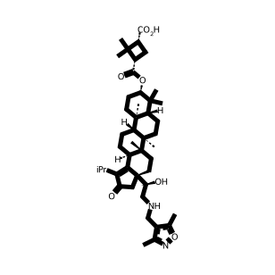 Cc1noc(C)c1CNC[C@H](O)[C@@]12CC[C@]3(C)[C@H](CC[C@@H]4[C@@]5(C)CC[C@H](OC(=O)[C@H]6C[C@@H](C(=O)O)C6(C)C)C(C)(C)[C@@H]5CC[C@]43C)C1=C(C(C)C)C(=O)C2